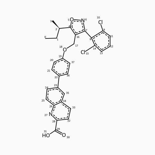 CC[C@@H](C)c1onc(-c2c(Cl)cccc2Cl)c1COc1ccc(-c2ccc3nc(C(=O)O)ccc3c2)cc1